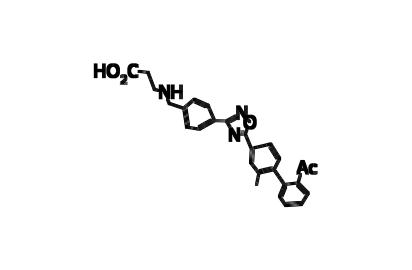 CC(=O)c1ccccc1-c1ccc(-c2nc(-c3ccc(CNCCC(=O)O)cc3)no2)cc1C